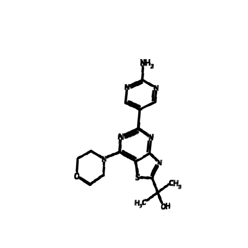 CC(C)(O)c1nc2nc(-c3cnc(N)nc3)nc(N3CCOCC3)c2s1